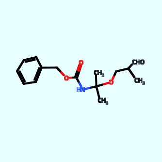 CC(C=O)COC(C)(C)NC(=O)OCc1ccccc1